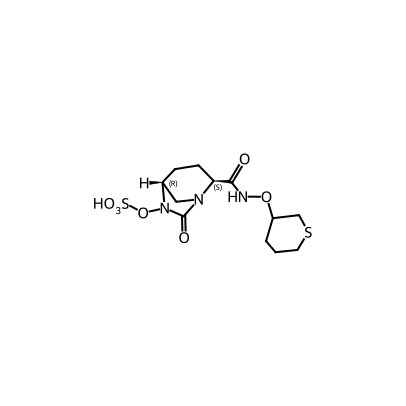 O=C(NOC1CCCSC1)[C@@H]1CC[C@@H]2CN1C(=O)N2OS(=O)(=O)O